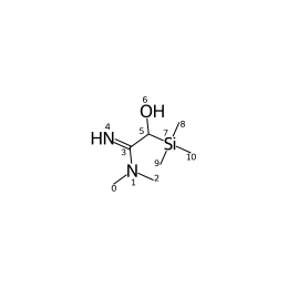 CN(C)C(=N)C(O)[Si](C)(C)C